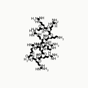 N=C(N)NCCC[C@H](NC(=O)[C@H](CCCNC(=N)N)NC(=O)[C@H](CCCNC(=N)N)NC(=O)[C@H](CCC(N)=O)NC(=O)[C@H](CCCNC(=N)N)NC(=O)[C@H](CCCNC(=N)N)NC(=O)[C@H](CCCCN)NC(=O)[C@H](CCCNC(=N)N)NC(=O)[C@H](CCCNC(=N)N)NC(=O)CN)C(N)=O